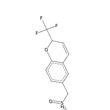 O=[SH](=O)Cc1ccc2c(c1)C=CC(C(F)(F)F)O2